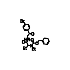 CC[C@@H](C(=O)NCC(=O)c1ccc(Br)cc1)N(CC)C(=O)OCc1ccccc1